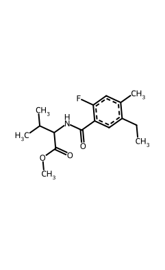 CCc1cc(C(=O)NC(C(=O)OC)C(C)C)c(F)cc1C